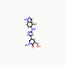 CC(C)n1cc(-c2nnc(Nc3ccc4[nH]ncc4c3Cl)s2)cc(CO)c1=O